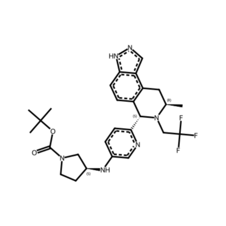 C[C@@H]1Cc2c(ccc3[nH]ncc23)[C@@H](c2ccc(N[C@H]3CCN(C(=O)OC(C)(C)C)C3)cn2)N1CC(F)(F)F